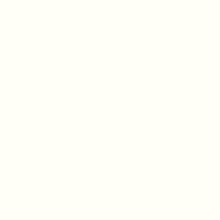 Cc1cc(I)c(C)c(C)c1F